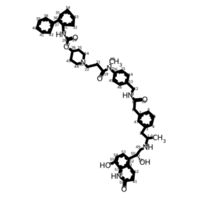 CC(Cc1cccc(CC(=O)NCc2ccc(N(C)C(=O)CCN3CCC(OC(=O)Nc4ccccc4-c4ccccc4)CC3)cc2)c1)NC[C@H](O)c1ccc(O)c2[nH]c(=O)ccc12